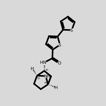 O=C(N[C@@H]1C[C@H]2CC[C@@H]1N2)c1ccc(-c2cccs2)s1